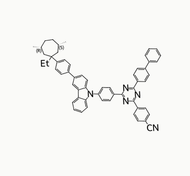 CCC1(c2ccc(-c3ccc4c(c3)c3ccccc3n4-c3ccc(-c4nc(-c5ccc(C#N)cc5)nc(-c5ccc(-c6ccccc6)cc5)n4)cc3)cc2)C[C@H](C)CC[C@H](C)C1